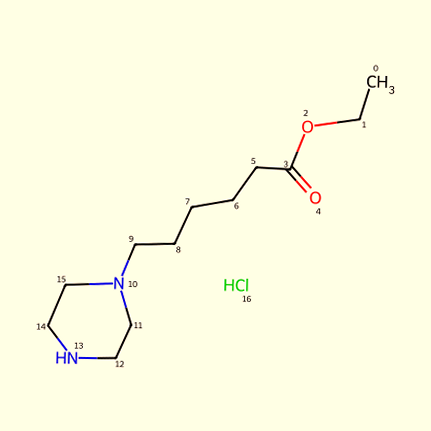 CCOC(=O)CCCCCN1CCNCC1.Cl